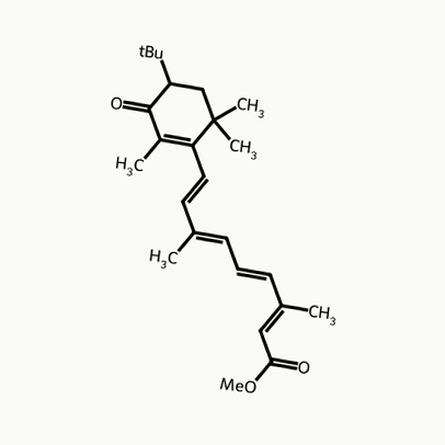 COC(=O)C=C(C)C=CC=C(C)C=CC1=C(C)C(=O)C(C(C)(C)C)CC1(C)C